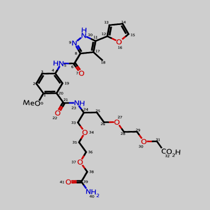 COc1ccc(NC(=O)c2n[nH]c(-c3ccco3)c2C)cc1C(=O)NC(CCOCCOCC(=O)O)COCCOCC(N)=O